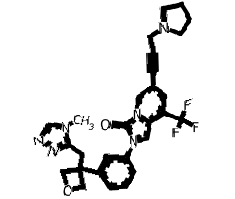 Cn1cnnc1CC1(c2cccc(-n3cc4c(C(F)(F)F)cc(C#CCN5CCCC5)cn4c3=O)c2)COC1